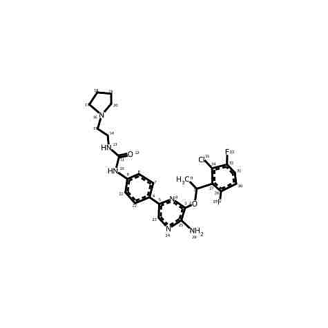 CC(Oc1nc(-c2ccc(NC(=O)NCCN3CCCC3)cc2)cnc1N)c1c(F)ccc(F)c1Cl